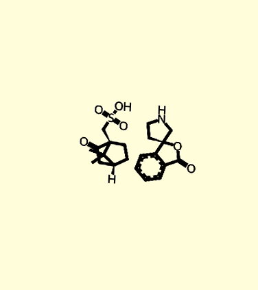 CC1(C)[C@@H]2CC[C@@]1(CS(=O)(=O)O)C(=O)C2.O=C1O[C@]2(CCNC2)c2ccccc21